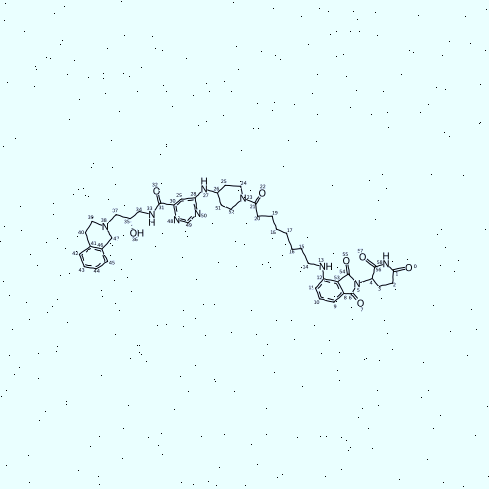 O=C1CCC(N2C(=O)c3cccc(NCCCCCCCC(=O)N4CCC(Nc5cc(C(=O)NC[C@H](O)CN6CCc7ccccc7C6)ncn5)CC4)c3C2=O)C(=O)N1